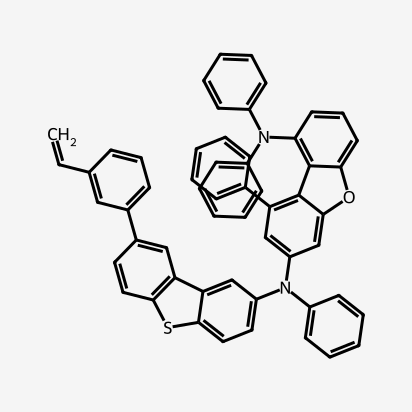 C=Cc1cccc(-c2ccc3sc4ccc(N(c5ccccc5)c5cc(-c6ccccc6)c6c(c5)oc5cccc(N(c7ccccc7)c7ccccc7)c56)cc4c3c2)c1